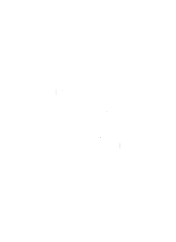 CC1=C(O[SiH3])CCCCC1(C)C(C)(C)C